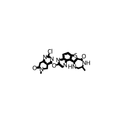 CC1CNc2c(sc3ccc4nc(Oc5nc(Cl)nc6c5CN(C)C(=O)C6)cnc4c23)C(=O)N1